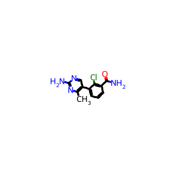 Cc1nc(N)ncc1-c1cccc(C(N)=O)c1Cl